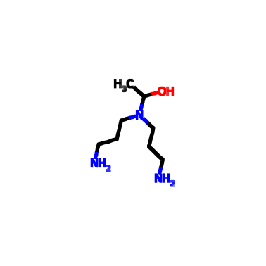 CC(O)N(CCCN)CCCN